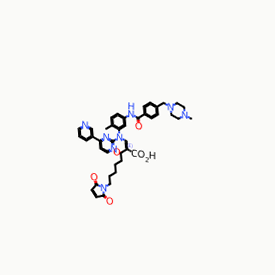 Cc1ccc(NC(=O)c2ccc(CN3CCN(C)CC3)cc2)cc1N(/C=C(/C(=O)O)C(=O)CCCCCN1C(=O)C=CC1=O)c1nccc(-c2cccnc2)n1